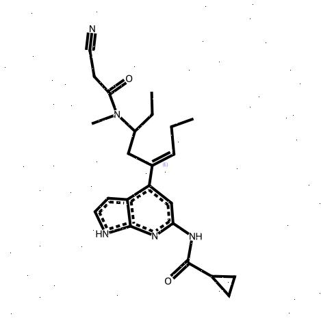 CC/C=C(\CC(CC)N(C)C(=O)CC#N)c1cc(NC(=O)C2CC2)nc2[nH]ccc12